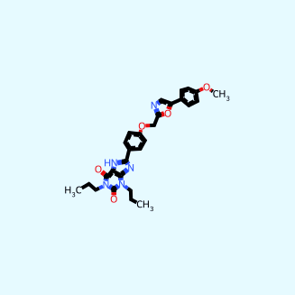 CCCn1c(=O)c2[nH]c(-c3ccc(OCc4ncc(-c5ccc(OC)cc5)o4)cc3)nc2n(CCC)c1=O